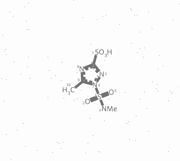 CNS(=O)(=O)n1nc(S(=O)(=O)O)nc1C